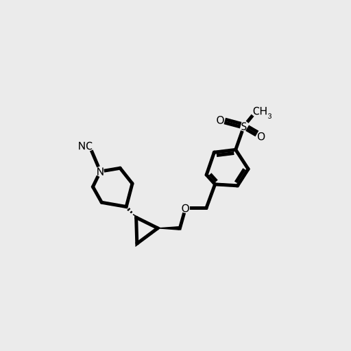 CS(=O)(=O)c1ccc(COC[C@H]2C[C@@H]2C2CCN(C#N)CC2)cc1